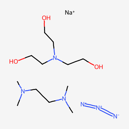 CN(C)CCN(C)C.OCCN(CCO)CCO.[N-]=[N+]=[N-].[Na+]